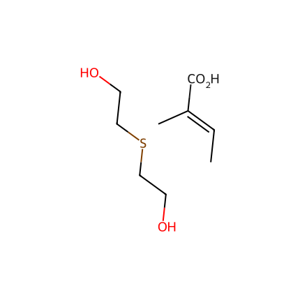 CC=C(C)C(=O)O.OCCSCCO